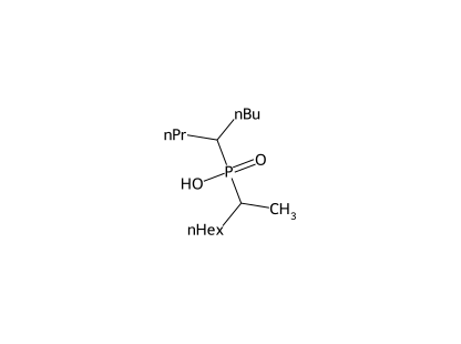 CCCCCCC(C)P(=O)(O)C(CCC)CCCC